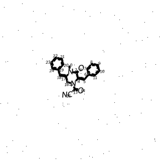 CN1C(=O)C(=Cc2ccccc2)N(C(=O)C#N)CC1=Cc1ccccc1